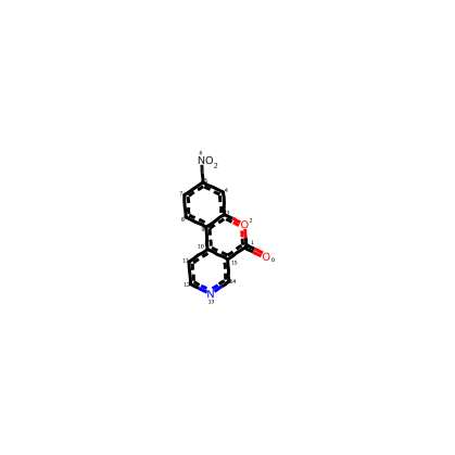 O=c1oc2cc([N+](=O)[O-])ccc2c2ccncc12